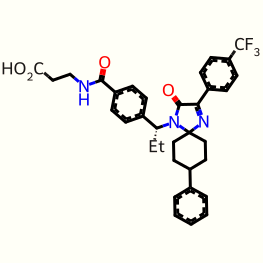 CC[C@H](c1ccc(C(=O)NCCC(=O)O)cc1)N1C(=O)C(c2ccc(C(F)(F)F)cc2)=NC12CCC(c1ccccc1)CC2